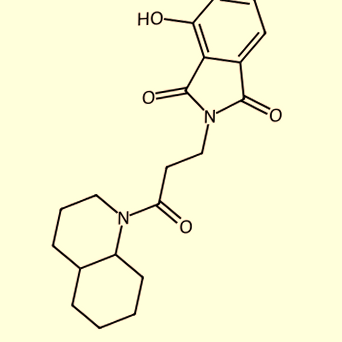 O=C1c2cccc(O)c2C(=O)N1CCC(=O)N1CCCC2CCCCC21